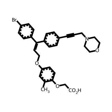 Cc1cc(OCC=C(c2ccc(Br)cc2)c2ccc(C#CCN3CCOCC3)cc2)ccc1OCC(=O)O